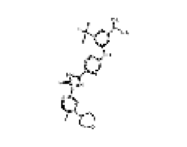 CN(C)c1cc(Nc2ccc(-c3nn(-c4ncc(F)c(N5CCOCC5)n4)c(=S)[nH]3)nc2)cc(C(F)(F)F)c1